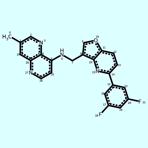 Cc1cnc2c(NCc3coc4ccc(-c5cc(F)cc(F)c5)nc34)ccnc2c1